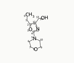 CCc1oc(N2CCOCC2)nc1CO